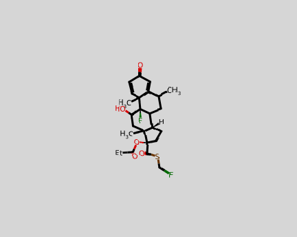 CCC(=O)O[C@]1(C(=O)SCF)CC[C@H]2C3CC(C)C4=CC(=O)C=CC4(C)[C@@]3(F)C(O)CC21C